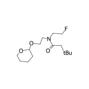 CC(C)(C)CC(=O)N(CCF)CCOC1CCCCO1